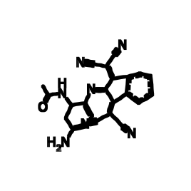 CC(=O)NC1CC(N)=CC=C1N=C1C(=C(C#N)C#N)c2ccccc2C1=C(C#N)C#N